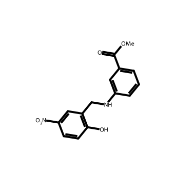 COC(=O)c1cccc(NCc2cc([N+](=O)[O-])ccc2O)c1